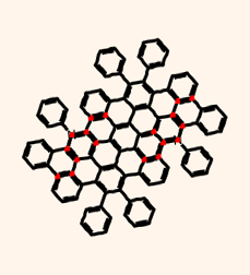 c1ccc(-c2c(-c3ccccc3)c(-c3ccccc3)c(-c3c4ccc(N(c5ccccc5)c5cccc6ccccc56)cc4c(-c4c(-c5ccccc5)c(-c5ccccc5)c(-c5ccccc5)c(-c5ccccc5)c4-c4ccccc4)c4ccc(N(c5ccccc5)c5cccc6ccccc56)cc34)c(-c3ccccc3)c2-c2ccccc2)cc1